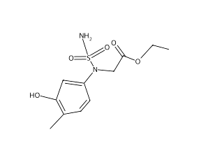 CCOC(=O)CN(c1ccc(C)c(O)c1)S(N)(=O)=O